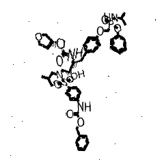 CC(C)CN(C[C@@H](O)[C@H](Cc1ccc(OCP(=O)(NC(C)C)Oc2ccccc2)cc1)NC(=O)O[C@H]1CCOC1)S(=O)(=O)c1ccc(NC(=O)OCc2ccccc2)cc1